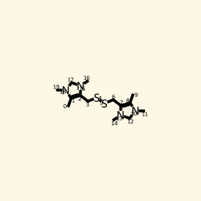 CC1=C(CSSCC2=C(C)N(C)CN2C)N(C)CN1C